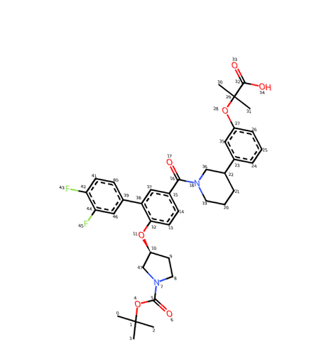 CC(C)(C)OC(=O)N1CC[C@H](Oc2ccc(C(=O)N3CCCC(c4cccc(OC(C)(C)C(=O)O)c4)C3)cc2-c2ccc(F)c(F)c2)C1